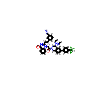 CCN(CC)CCN(Cc1ccc(-c2ccc(C(F)(F)F)cc2)cc1)C(=O)Cn1c(CCc2cccc(C#N)c2)nc(=O)c2ccccc21